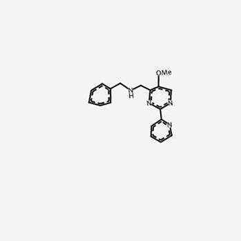 COc1cnc(-c2ccccn2)nc1CNCc1ccccc1